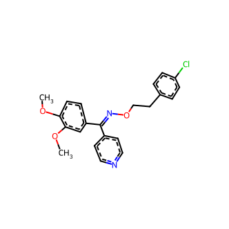 COc1ccc(C(=NOCCc2ccc(Cl)cc2)c2ccncc2)cc1OC